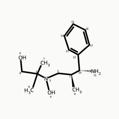 C[C@@H](CN(O)C(C)(C)CO)[C@@H](N)c1ccccc1